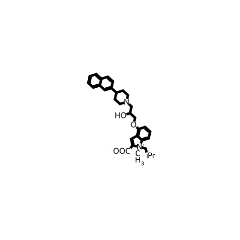 CC(C)C[N@+]1(C)C(C(=O)[O-])=Cc2c(OCC(O)CN3CCC(c4ccc5ccccc5c4)CC3)cccc21